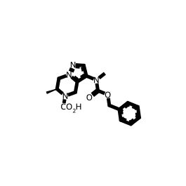 C[C@H]1Cn2ncc(N(C)C(=O)OCc3ccccc3)c2CN1C(=O)O